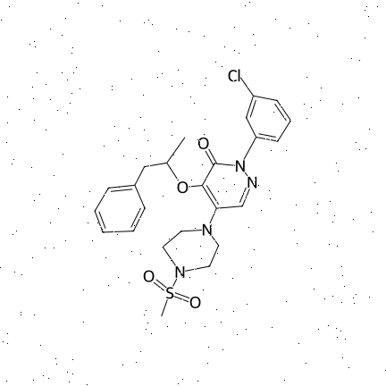 CC(Cc1ccccc1)Oc1c(N2CCN(S(C)(=O)=O)CC2)cnn(-c2cccc(Cl)c2)c1=O